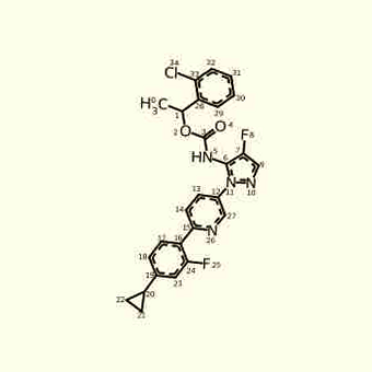 CC(OC(=O)Nc1c(F)cnn1-c1ccc(-c2ccc(C3CC3)cc2F)nc1)c1ccccc1Cl